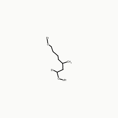 CCCOC(CC)CC(C)CCCCOCC